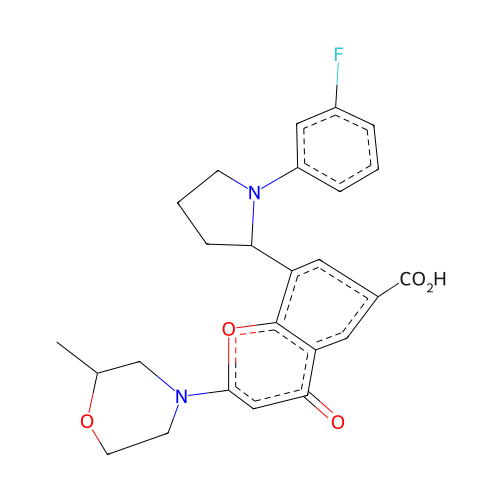 CC1CN(c2cc(=O)c3cc(C(=O)O)cc(C4CCCN4c4cccc(F)c4)c3o2)CCO1